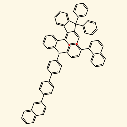 c1ccc(C2(c3ccccc3)c3ccccc3-c3c(-c4ccccc4N(c4ccc(-c5ccc(-c6ccc7ccccc7c6)cc5)cc4)c4ccc(-c5cccc6ccccc56)cc4)cccc32)cc1